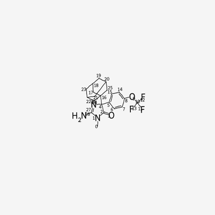 CN1C(=O)C(c2ccc(OC(F)(F)F)cc2)(C23CC4CC(CC(C4)C2)C3)N=C1N